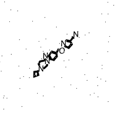 N#Cc1ccc(OCc2ccc3c(c2)nc2n3CCN(C3CCC3)CC2)nc1